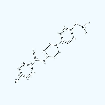 CN(C)Cc1ccc([C@H]2CC[C@@H](OC(=O)c3ccc(Cl)cc3)CC2)cc1